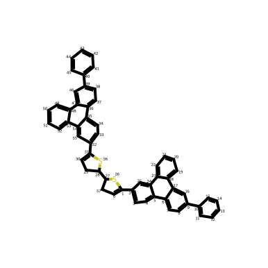 C1=C(c2ccc3c4ccc(-c5ccccc5)cc4c4ccccc4c3c2)SC(C2CC=C(c3ccc4c5ccc(-c6ccccc6)cc5c5ccccc5c4c3)S2)C1